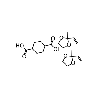 C=CC1(C)OCCO1.C=CC1(C)OCCO1.O=C(O)C1CCC(C(=O)O)CC1